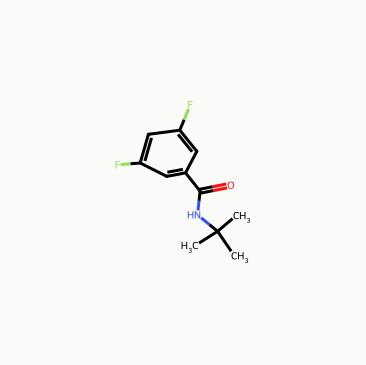 CC(C)(C)NC(=O)c1cc(F)cc(F)c1